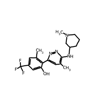 Cc1cc(-c2c(C)cc(C(F)(F)F)cc2O)nnc1NC1CCCN(C)C1